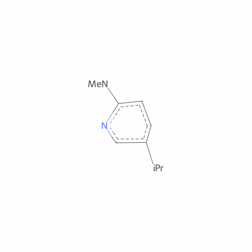 CNc1ccc(C(C)C)cn1